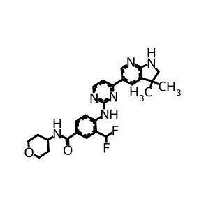 CC1(C)CNc2ncc(-c3ccnc(Nc4ccc(C(=O)NC5CCOCC5)cc4C(F)F)n3)cc21